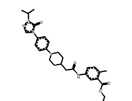 CCOC(=O)c1cc(NC(=O)CC2CCN(c3ccc(-n4cnn(C(C)C)c4=O)cc3)CC2)ccc1C